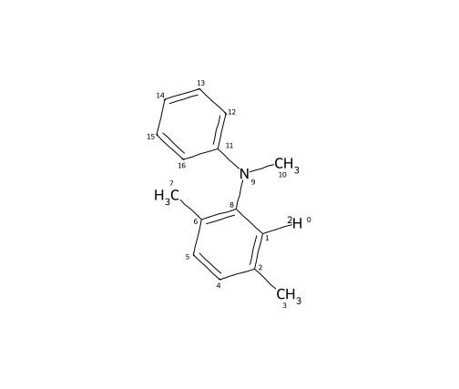 [2H]c1c(C)ccc(C)c1N(C)c1ccccc1